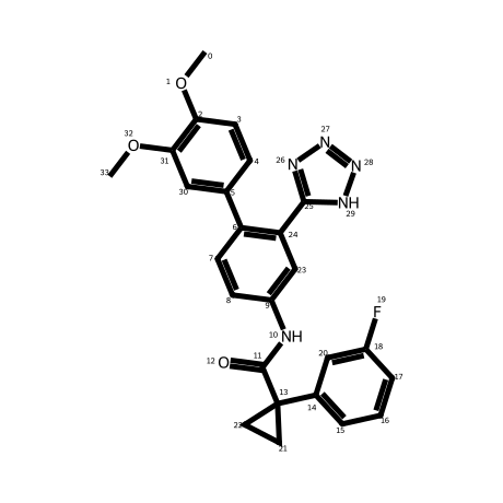 COc1ccc(-c2ccc(NC(=O)C3(c4cccc(F)c4)CC3)cc2-c2nnn[nH]2)cc1OC